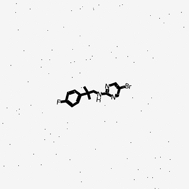 CC(C)(CNc1ncc(Br)cn1)c1ccc(F)cc1